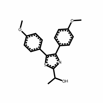 COc1ccc(-c2nc(C(C)O)sc2-c2ccc(OC)cc2)cc1